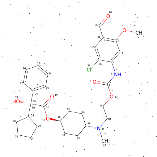 COc1cc(NC(=O)OCCN(C)[C@H]2CC[C@H](OC(=O)[C@](O)(c3ccccc3)C3CCCC3)CC2)c(Cl)cc1C=O